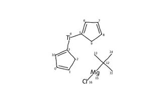 C1=CC[C]([Ti][C]2=CC=CC2)=C1.C[C](C)(C)[Mg][Cl]